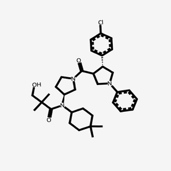 CC1(C)CCC(N(C(=O)C(C)(C)CO)[C@H]2CCN(C(=O)C3CN(c4ccccc4)C[C@H]3c3ccc(Cl)cc3)C2)CC1